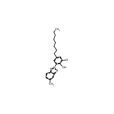 CCCCCCCCc1cc(Cl)c(O)c(-n2nc3ccc(C)cc3n2)c1